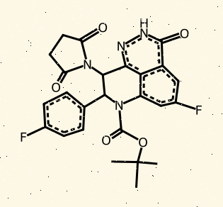 CC(C)(C)OC(=O)N1c2cc(F)cc3c(=O)[nH]nc(c23)C(N2C(=O)CCC2=O)C1c1ccc(F)cc1